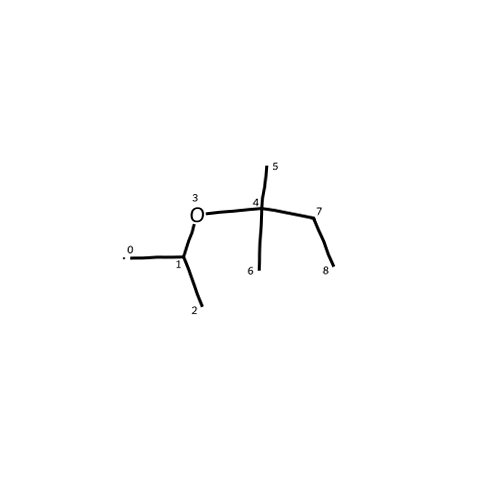 [CH2]C(C)OC(C)(C)CC